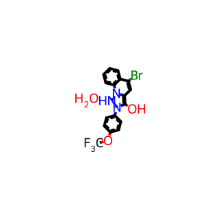 O.OC1=C2C=C(Br)c3ccccc3N2NN1c1ccc(OC(F)(F)F)cc1